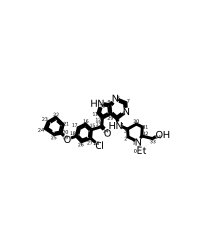 CCN1CC(Nc2ncnc3[nH]cc(C(=O)c4ccc(Oc5ccccc5)cc4Cl)c23)CCC1CO